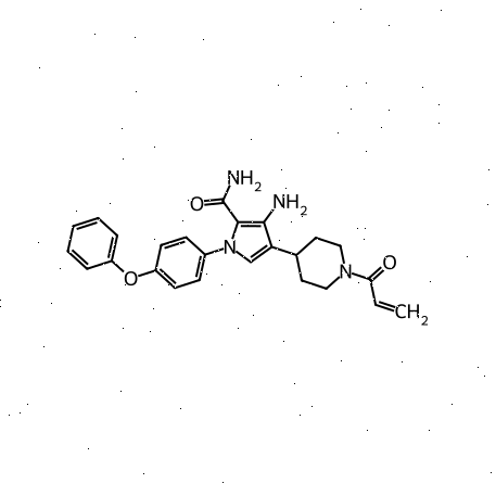 C=CC(=O)N1CCC(c2cn(-c3ccc(Oc4ccccc4)cc3)c(C(N)=O)c2N)CC1